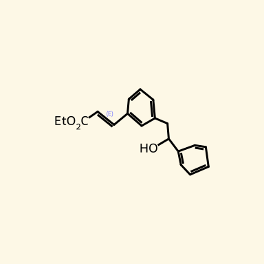 CCOC(=O)/C=C/c1cccc(CC(O)c2ccccc2)c1